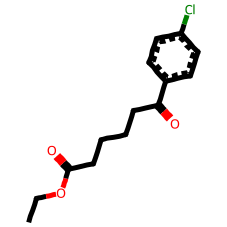 CCOC(=O)CCCCC(=O)c1ccc(Cl)cc1